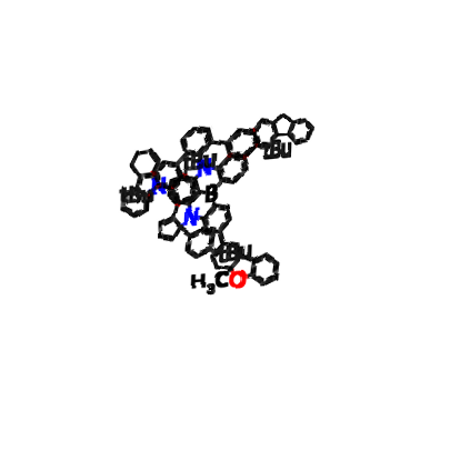 CC12CC=C(c3ccc4c(c3)N(C3(c5ccc(C(C)(C)C)cc5)C=CC=C3c3ccc(C(C)(C)C)cc3)c3cc(-n5c6c(c7ccccc75)CCC=C6)cc5c3B4c3ccc(-c4ccc6c(c4)-c4ccccc4C6)cc3N5c3c(-c4ccc(C(C)(C)C)cc4)cccc3-c3ccc(C(C)(C)C)cc3)C=C1c1ccccc1O2